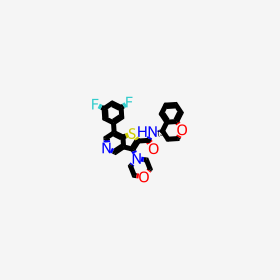 O=C(N[C@H]1CCOc2ccccc21)c1sc2c(-c3cc(F)cc(F)c3)cncc2c1N1CCOCC1